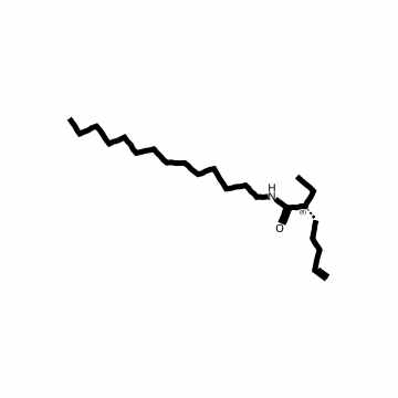 C=CCCC[C@@H](CC)C(=O)NCCCCCCCCCCCCCC